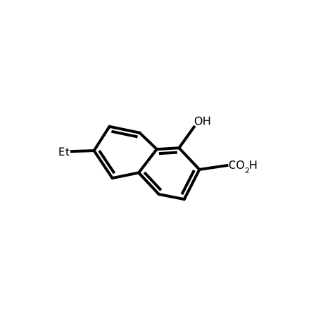 CCc1ccc2c(O)c(C(=O)O)ccc2c1